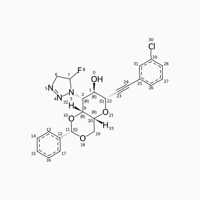 O[C@@H]1[C@@H](N2N=NCC2F)[C@H]2O[C@@H](c3ccccc3)OC[C@H]2O[C@H]1C#Cc1cccc(Cl)c1